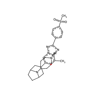 Cc1cc(C2CC3CCC(C2)N3C2CCN(C(C)C)CC2)cn2nc(-c3ccc(S(C)(=O)=O)cc3)nc12